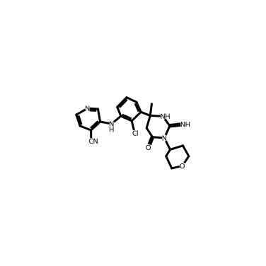 CC1(c2cccc(Nc3cnccc3C#N)c2Cl)CC(=O)N(C2CCOCC2)C(=N)N1